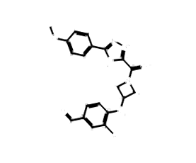 COc1ccc(-c2nnc(C(=O)N3CC(Oc4ccc(C=O)cc4C)C3)o2)cc1